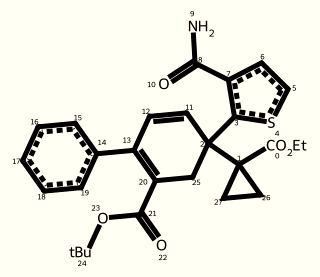 CCOC(=O)C1(C2(c3sccc3C(N)=O)C=CC(c3ccccc3)=C(C(=O)OC(C)(C)C)C2)CC1